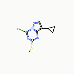 CSc1nc(Cl)n2ncc(C3CC3)c2n1